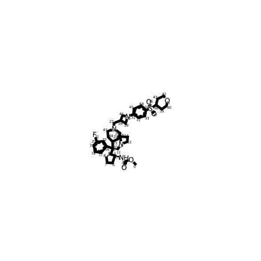 COC(=O)N[C@H]1CCC[C@@H]1[C@](CN1CCC1)(c1cccc(F)c1)C1CCN(CC2CN(c3ccc(S(=O)(=O)C4CCOCC4)cc3)C2)CC1